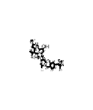 COc1cc(C(C(=O)N2C[C@H](O)C[C@H]2c2nc(C(=O)N(Cc3ccc(-c4scnc4C)cc3)C(C)C)c[nH]2)C(C)C)on1